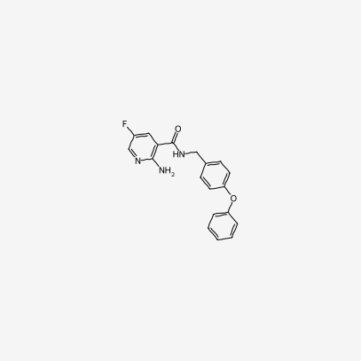 Nc1ncc(F)cc1C(=O)NCc1ccc(Oc2ccccc2)cc1